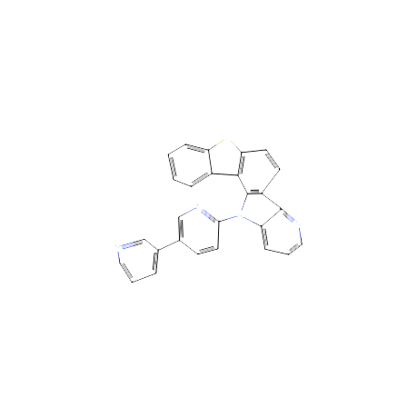 c1cncc(-c2ccc(-n3c4cccnc4c4ccc5sc6ccccc6c5c43)nc2)c1